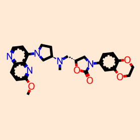 COc1ccc2nccc(N3CC[C@H](N(C)C[C@@H]4CN(c5ccc6c(c5)OCCO6)C(=O)O4)C3)c2n1